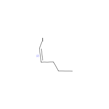 CCC/C=C\I